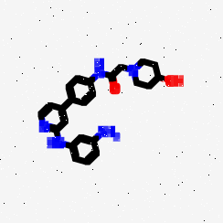 Nc1cccc(Nc2cc(-c3ccc(NC(=O)CN4CCC(O)CC4)cc3)ccn2)c1